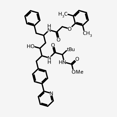 COC(=O)NC(C(=O)NC(Cc1ccc(-c2ccccn2)cc1)C(O)CC(Cc1ccccc1)NC(=O)COc1c(C)cccc1C)C(C)(C)C